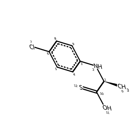 C[C@H](Nc1ccc(Cl)cc1)C(O)=S